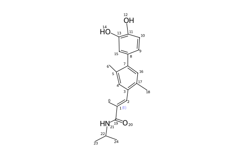 C/C(=C\c1cc(C)c(-c2ccc(O)c(O)c2)cc1C)C(=O)NC(C)C